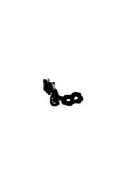 CN1CCN(CC(=O)c2ccc3ccccc3c2)C1